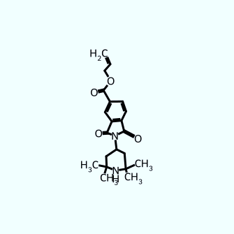 C=CCOC(=O)c1ccc2c(c1)C(=O)N(C1CC(C)(C)NC(C)(C)C1)C2=O